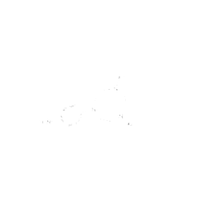 CC(=O)N1CCN(C(C)=O)CCN(c2ccc(N)cc2)CC1